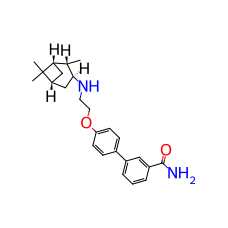 C[C@@H]1[C@@H](NCCOc2ccc(-c3cccc(C(N)=O)c3)cc2)C[C@H]2C[C@@H]1C2(C)C